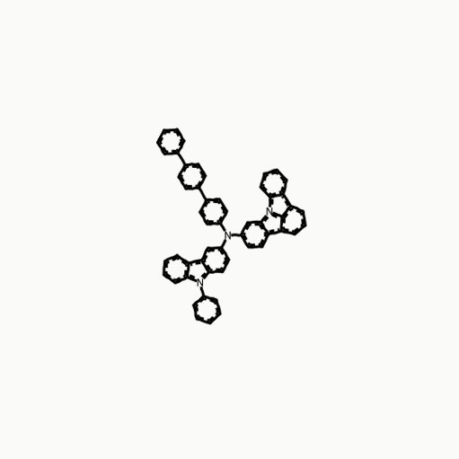 c1ccc(-c2ccc(-c3ccc(N(c4ccc5c(c4)c4ccccc4n5-c4ccccc4)c4ccc5c6cccc7c8ccccc8n(c5c4)c76)cc3)cc2)cc1